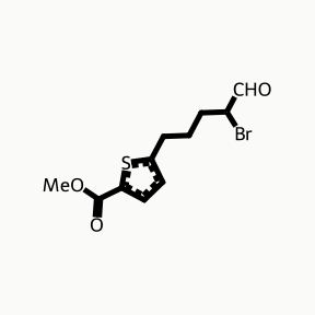 COC(=O)c1ccc(CCCC(Br)C=O)s1